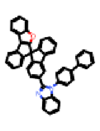 c1ccc(-c2ccc(-n3c(-c4ccc5c(c4)-c4ccccc4C54c5ccccc5-c5c4oc4ccccc54)nc4ccccc43)cc2)cc1